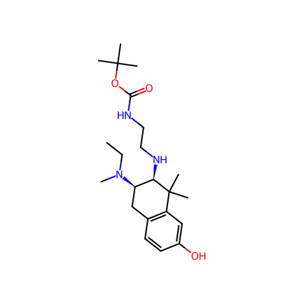 CCN(C)[C@@H]1Cc2ccc(O)cc2C(C)(C)[C@@H]1NCCNC(=O)OC(C)(C)C